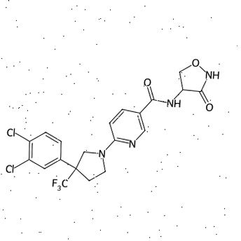 O=C(NC1CONC1=O)c1ccc(N2CCC(c3ccc(Cl)c(Cl)c3)(C(F)(F)F)C2)nc1